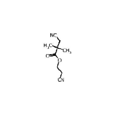 CC(C)(CC#N)C(=O)OCCC#N